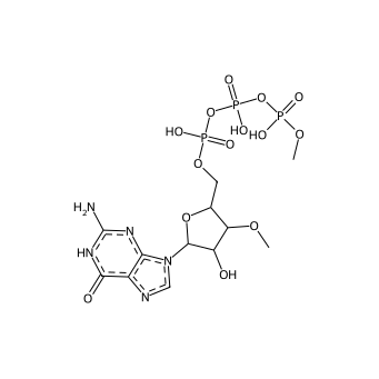 COC1C(COP(=O)(O)OP(=O)(O)OP(=O)(O)OC)OC(n2cnc3c(=O)[nH]c(N)nc32)C1O